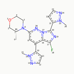 C[C@@H]1COCCN1c1cc(-c2ccnn2C)c2c(F)nc(-c3ccnn3C)n2n1